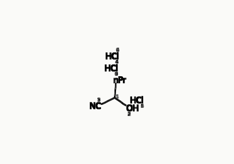 CCCC(O)C#N.Cl.Cl.Cl